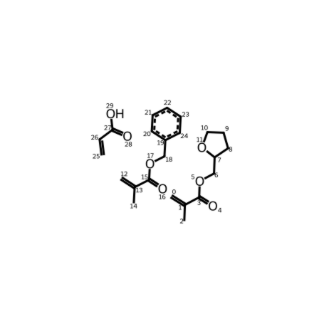 C=C(C)C(=O)OCC1CCCO1.C=C(C)C(=O)OCc1ccccc1.C=CC(=O)O